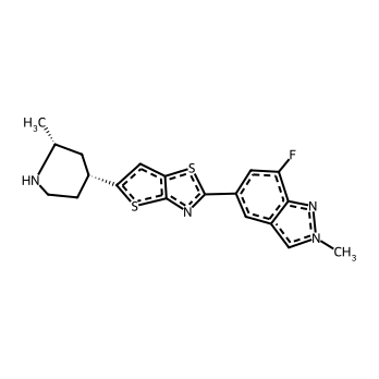 C[C@@H]1C[C@H](c2cc3sc(-c4cc(F)c5nn(C)cc5c4)nc3s2)CCN1